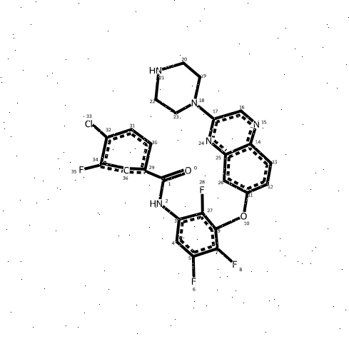 O=C(Nc1cc(F)c(F)c(Oc2ccc3ncc(N4CCNCC4)nc3c2)c1F)c1ccc(Cl)c(F)c1